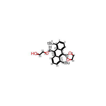 CC(C)(C)c1cccc2c(B3OCCO3)c3c(C(C)(C)C)cccc3c(BOCCO)c12